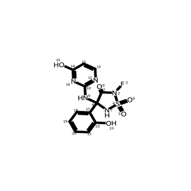 O=C1N(F)S(=O)(=O)NC1(Nc1nccc(O)n1)c1ccccc1O